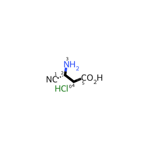 Cl.N#C[C@H](N)CC(=O)O